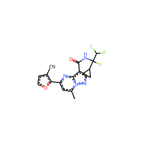 Cc1cc(-c2occc2C#N)nc2c(C(=O)NC(F)(C(F)F)C3CC3)cnn12